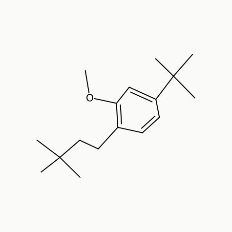 COc1cc(C(C)(C)C)ccc1CCC(C)(C)C